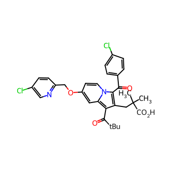 CC(C)(C)C(=O)c1c(CC(C)(C)C(=O)O)c(C(=O)c2ccc(Cl)cc2)n2ccc(OCc3ccc(Cl)cn3)cc12